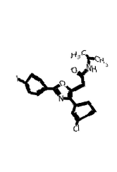 CC(C)NC(=O)Cc1oc(-c2ccc(I)cc2)nc1-c1cccc(Cl)c1